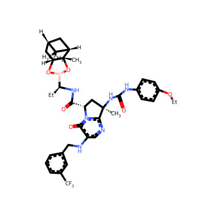 CCOc1ccc(NC(=O)N[C@]2(C)C[C@@H](C(=O)N[C@@H](CC)B3O[C@@H]4C[C@@H]5C[C@@H](C5(C)C)[C@]4(C)O3)n3c2ncc(NCc2cccc(C(F)(F)F)c2)c3=O)cc1